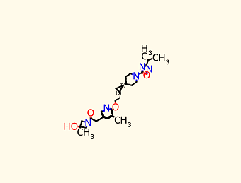 Cc1cc(CC(=O)N2CC(C)(O)C2)cnc1OCC[C@@H]1C[C@@H]1C1CCN(c2nc(C(C)C)no2)CC1